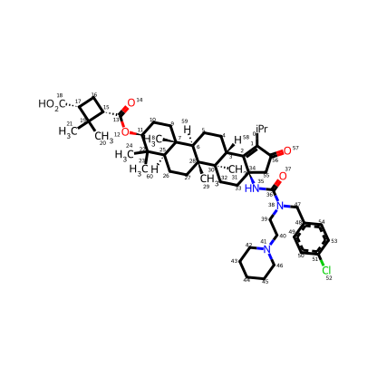 CC(C)C1=C2[C@H]3CC[C@@H]4[C@@]5(C)CC[C@H](OC(=O)[C@H]6C[C@@H](C(=O)O)C6(C)C)C(C)(C)[C@@H]5CC[C@@]4(C)[C@]3(C)CC[C@@]2(NC(=O)N(CCN2CCCCC2)Cc2ccc(Cl)cc2)CC1=O